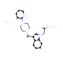 CNC(=O)Cn1cc(C(=O)N2CCN(c3ncccc3C(=O)O)CC2)c2ccc(Cl)cc21